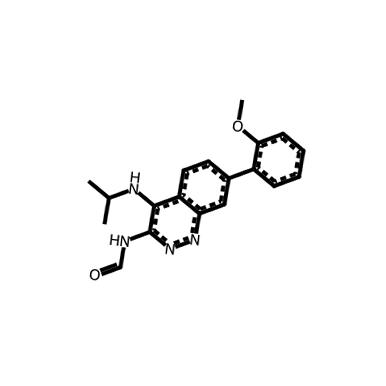 COc1ccccc1-c1ccc2c(NC(C)C)c(NC=O)nnc2c1